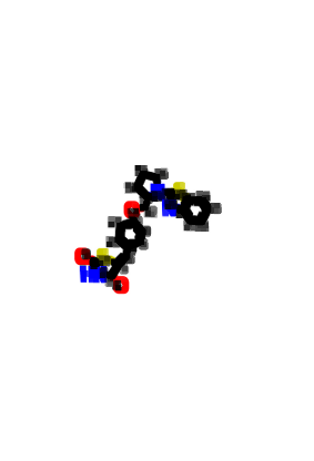 O=C1NC(=O)/C(=C/c2ccc(OC[C@H]3CCCN3c3nc4ccccc4s3)cc2)S1